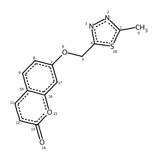 Cc1nnc(COc2ccc3ccc(=O)oc3c2)s1